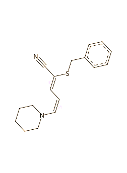 N#C/C(=C/C=C\N1CCCCC1)SCc1ccccc1